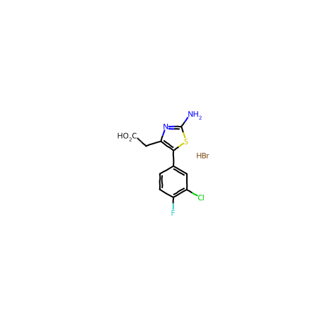 Br.Nc1nc(CC(=O)O)c(-c2ccc(F)c(Cl)c2)s1